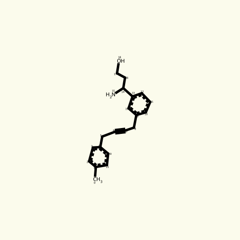 Cc1ccc(CC#CCc2cccc(C(N)CCO)c2)cc1